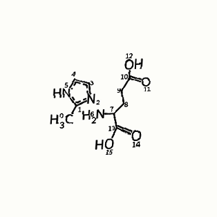 Cc1ncc[nH]1.NC(CCC(=O)O)C(=O)O